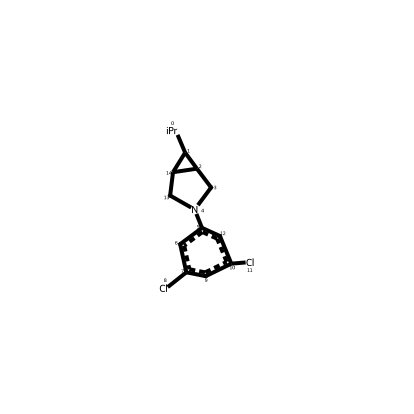 CC(C)C1C2CN(c3cc(Cl)cc(Cl)c3)CC21